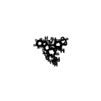 [2H]c1c([2H])c([C@]2([2H])c3[nH]c4ccccc4c3C[C@]3([2H])C(=O)N(C([2H])([2H])[2H])CC(=O)N23)c([2H])c2c1OCO2